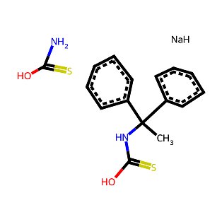 CC(NC(O)=S)(c1ccccc1)c1ccccc1.NC(O)=S.[NaH]